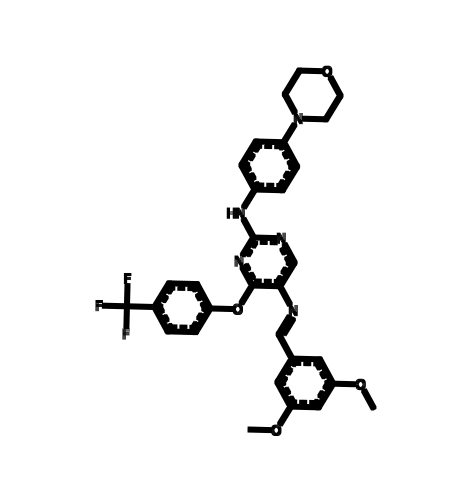 COc1cc(C=Nc2cnc(Nc3ccc(N4CCOCC4)cc3)nc2Oc2ccc(C(F)(F)F)cc2)cc(OC)c1